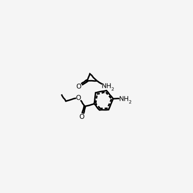 CCOC(=O)c1ccc(N)cc1.NC1CC1=O